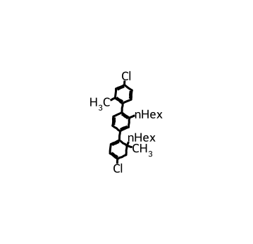 CCCCCCc1cc(C2=CC=C(Cl)CC2(C)CCCCCC)ccc1-c1ccc(Cl)cc1C